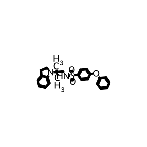 CC(C)(CNS(=O)(=O)c1ccc(Oc2ccccc2)cc1)N1CCc2ccccc21